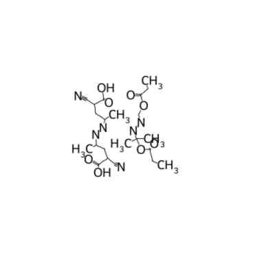 CC(CC(C#N)C(=O)O)/N=N/C(C)CC(C#N)C(=O)O.CCC(=O)OC/N=N/C(C)(C)OC(=O)CC